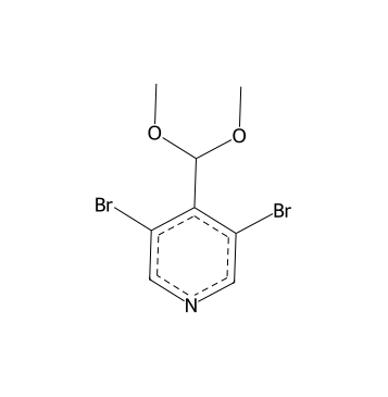 COC(OC)c1c(Br)cncc1Br